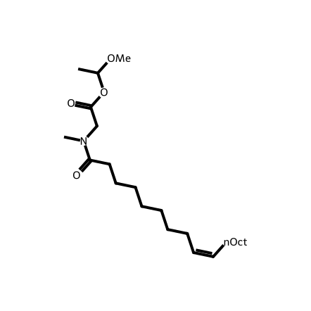 CCCCCCCC/C=C\CCCCCCCC(=O)N(C)CC(=O)OC(C)OC